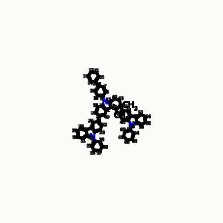 CC1c2c(n(-c3ccc(-c4ccccc4)cc3)c3ccc(-c4ccc5c(c4)c4ccccc4n5-c4ccccc4)cc23)CCC1(C)c1ccc2c(c1)c1ccccc1n2C1=CCCC=C1